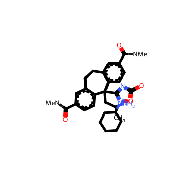 CNC(=O)c1ccc2c(c1)CCc1cc(C(=O)NC)ccc1C2(C[C@H](C)N)c1nc(=O)on1C1CCCCC1